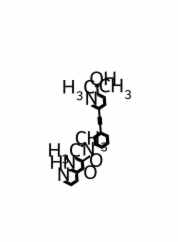 CC(C)N(C(=O)c1c[nH]c2ncccc2c1=O)c1cccc(C#Cc2ccc(C(C)(C)O)nc2)c1